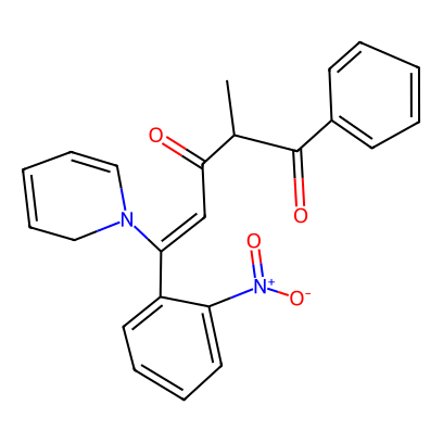 CC(C(=O)C=C(c1ccccc1[N+](=O)[O-])N1C=CC=CC1)C(=O)c1ccccc1